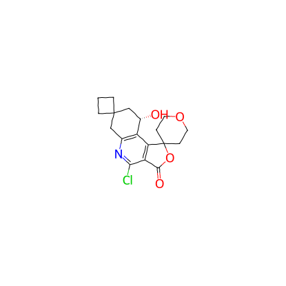 O=C1OC2(CCOCC2)c2c1c(Cl)nc1c2[C@@H](O)CC2(CCC2)C1